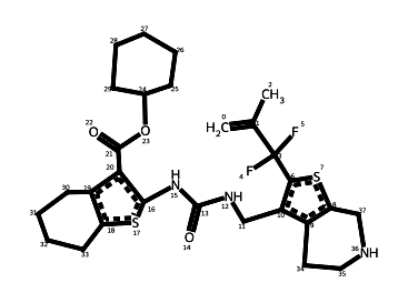 C=C(C)C(F)(F)c1sc2c(c1CNC(=O)Nc1sc3c(c1C(=O)OC1CCCCC1)CCCC3)CCNC2